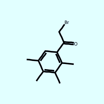 Cc1cc(C(=O)CBr)c(C)c(C)c1C